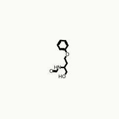 O=CNC(CO)CCOc1ccccc1